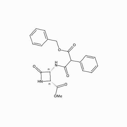 COC(=O)[C@@H]1NC(=O)[C@@H]1NC(=O)C(C(=O)OCc1ccccc1)c1ccccc1